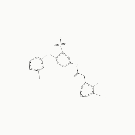 NS(=O)(=O)c1cc(NC(=O)Cc2cccc(C(F)(F)F)c2Cl)ccc1Oc1cccc(Cl)c1